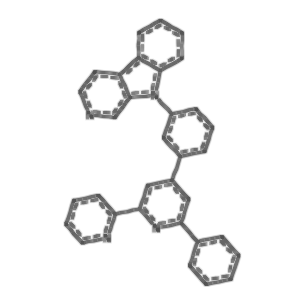 c1ccc(-c2cc(-c3cccc(-n4c5ccccc5c5ccncc54)c3)cc(-c3ccccn3)n2)cc1